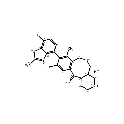 Cc1c2c(cc(Cl)c1-c1ccc(F)c3sc(N)nc13)C(=O)N1CCNC[C@@H]1COC2